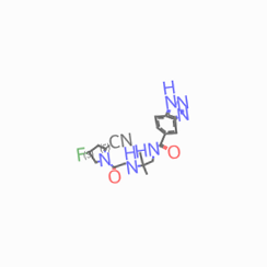 CC(C)(CNC(=O)c1ccc2[nH]nnc2c1)NCC(=O)N1C[C@@H](F)C[C@H]1C#N